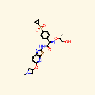 C[C@H](CO)O/N=C(/C(=O)Nc1nc2ccc(OC3CN(C)C3)nc2s1)c1ccc(S(=O)(=O)C2CC2)cc1